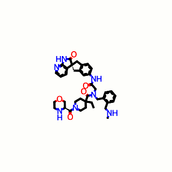 CCC1(C(=O)N(CC(=O)Nc2ccc3c(c2)C[C@@]2(C3)C(=O)Nc3ncccc32)Cc2ccccc2CNC)CCN(C(=O)[C@@H]2COCCN2)CC1